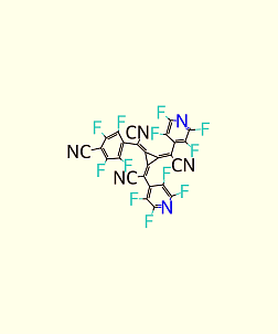 N#CC(=C1C(=C(/C#N)c2c(F)c(F)nc(F)c2F)/C1=C(/C#N)c1c(F)c(F)nc(F)c1F)c1c(F)c(F)c(C#N)c(F)c1F